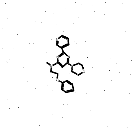 CN(CCOc1ccccc1)c1cc(N2CCOCC2)nc(-c2cccnc2)n1